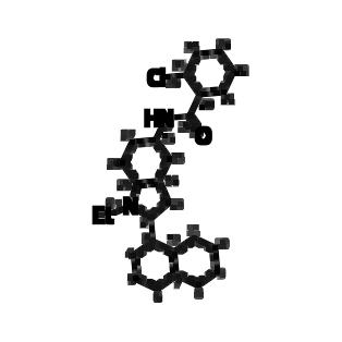 CCn1c(-c2cccc3ccccc23)cc2cc(NC(=O)c3ccccc3Cl)ccc21